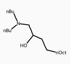 CCCCCCCCCCC(O)CN(CCCC)CCCC